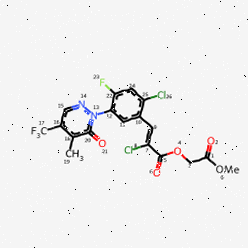 COC(=O)COC(=O)C(Cl)=Cc1cc(-n2ncc(C(F)(F)F)c(C)c2=O)c(F)cc1Cl